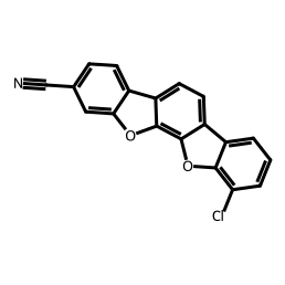 N#Cc1ccc2c(c1)oc1c2ccc2c3cccc(Cl)c3oc21